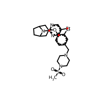 CCc1cnc(N2C3CCC2CC(Oc2ccc(CN4CCN(S(C)(=O)=O)CC4)cc2Cl)C3)nc1